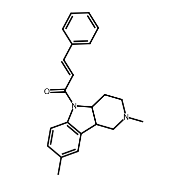 Cc1ccc2c(c1)C1CN(C)CCC1N2C(=O)/C=C/c1ccccc1